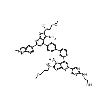 COCCC[S+]([O-])c1sc2nc(-c3cnc(NCCO)nc3)cc(-c3cccc(-c4ccc(-c5cc(-c6cnc7nn(C)cc7c6)nc6sc([S+]([O-])CCOC)c(N)c56)cc4)c3)c2c1N